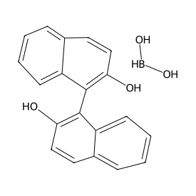 OBO.Oc1ccc2ccccc2c1-c1c(O)ccc2ccccc12